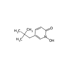 CC(C)(C)Cc1ccc(=O)n(O)c1